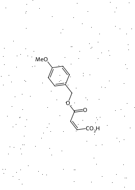 COc1ccc(COC(=O)/C=C\C(=O)O)cc1